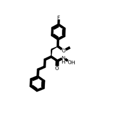 CO[C@@H](C[C@H](CCCc1ccccc1)C(=O)NO)c1ccc(F)cc1